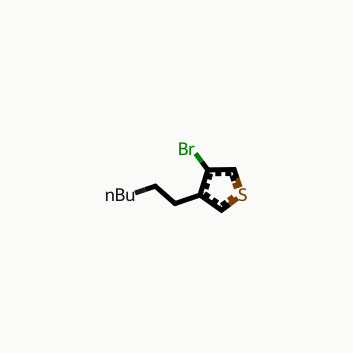 CCCCCCc1cscc1Br